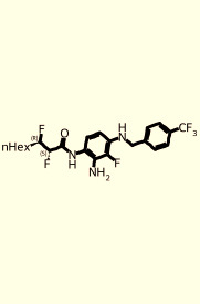 CCCCCC[C@@H](F)[C@@H](F)C(=O)Nc1ccc(NCc2ccc(C(F)(F)F)cc2)c(F)c1N